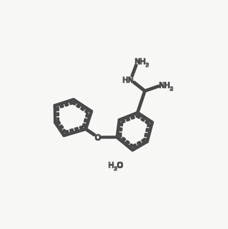 NNC(N)c1cccc(Oc2ccccc2)c1.O